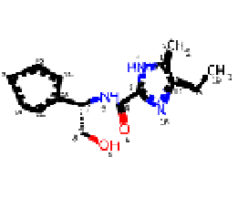 C=c1[nH]c(C(=O)N[C@H](CO)c2ccccc2)n/c1=C/C